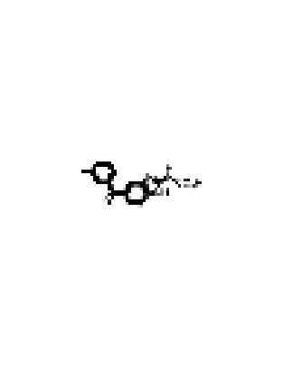 O=C(O)Nc1nc2cc(C(=O)c3cccc(I)c3)ccc2[nH]1